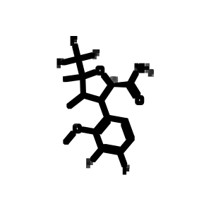 COc1c(C2C(C)C(C)(C(F)(F)F)O[C@H]2C(N)=O)ccc(F)c1F